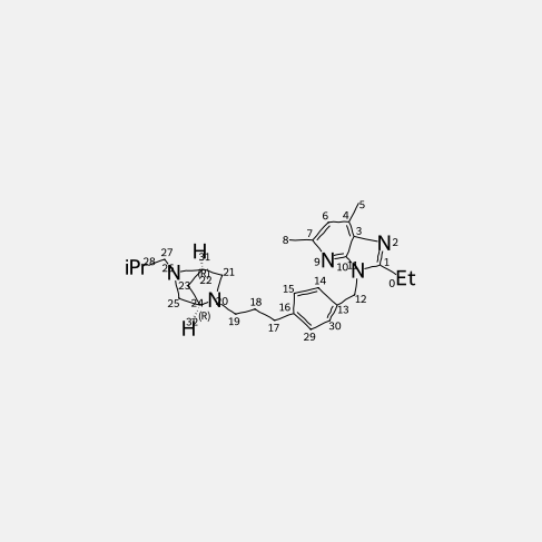 CCc1nc2c(C)cc(C)nc2n1Cc1ccc(CCCN2C[C@H]3C[C@@H]2CN3CC(C)C)cc1